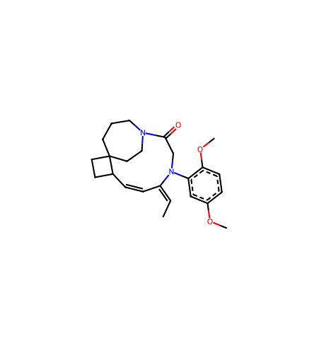 C/C=C1\C=C/C2CCC23CCCN(CC3)C(=O)CN1c1cc(OC)ccc1OC